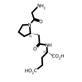 NCC(=O)N1CCC[C@H]1CC(=O)N[C@@H](CCC(=O)O)C(=O)O